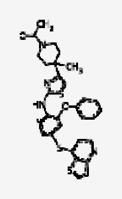 CC(=O)N1CCC(C)(c2csc(Nc3ncc(Sc4ccnc5ccsc45)cc3Oc3ccccc3)n2)CC1